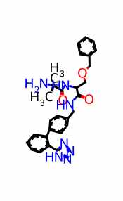 CC(C)(N)C(=O)NC(COCc1ccccc1)C(=O)NCc1ccc(-c2ccccc2-c2nnn[nH]2)cc1